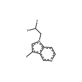 FC(F)Cn1cc(I)c2cnccc21